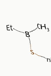 CCCSB(C)CC